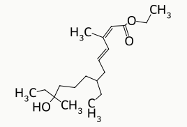 CCOC(=O)C=C(C)C=CCC(CC)CCCC(C)(O)CC